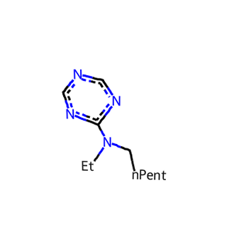 CCCCCCN(CC)c1ncncn1